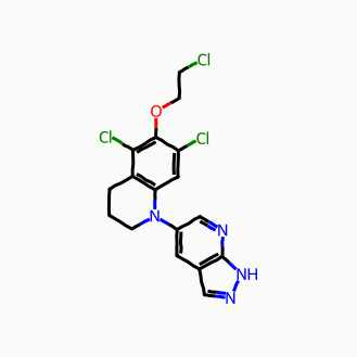 ClCCOc1c(Cl)cc2c(c1Cl)CCCN2c1cnc2[nH]ncc2c1